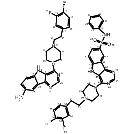 Nc1ccc2[nH]c3c(N4CCN(CCc5ccc(F)c(F)c5)CC4)ncnc3c2c1.O=S(=O)(Nc1ccccc1)c1ccc2[nH]c3c(N4CCN(CCc5ccc(F)c(F)c5)CC4)ncnc3c2c1